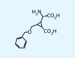 N[C@@H](C(=O)O)C1C(COCc2ccccc2)C1C(=O)O